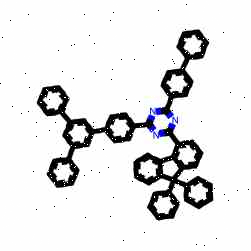 c1ccc(-c2ccc(-c3nc(-c4ccc(-c5cc(-c6ccccc6)cc(-c6ccccc6)c5)cc4)nc(-c4cccc5c4-c4ccccc4C5(c4ccccc4)c4ccccc4)n3)cc2)cc1